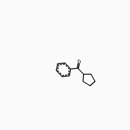 O=C(c1ccccc1)C1CCCC1